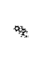 CC(c1ccccc1)n1c(Cl)nc(F)c1C(=O)O